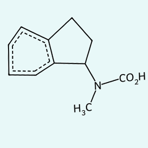 CN(C(=O)O)C1CCc2ccccc21